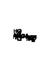 CCOC(=O)C1(COc2cc(C)c(-c3ccc(-c4nc(C(F)(F)F)cn4CO)c(Cl)c3)cn2)CCC1